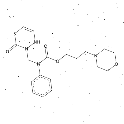 O=C1SC=CNN1CN(C(=O)OCCCN1CCOCC1)c1ccccc1